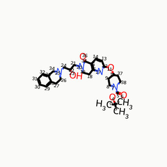 CC(C)(C)OC(=O)N1CCC(Oc2ccc3c(n2)CCN(CC(O)CN2CCc4ccccc4C2)C3=O)CC1